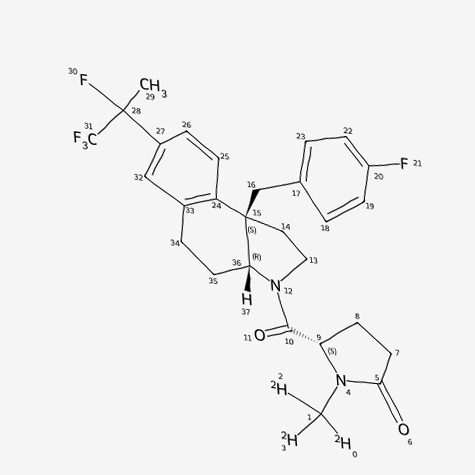 [2H]C([2H])([2H])N1C(=O)CC[C@H]1C(=O)N1CC[C@@]2(Cc3ccc(F)cc3)c3ccc(C(C)(F)C(F)(F)F)cc3CC[C@@H]12